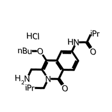 CCCCOc1c(CN)n(CC(C)C)c(=O)c2ccc(NC(=O)C(C)C)cc12.Cl